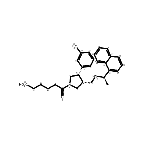 C[C@@H](NC[C@@H]1CN(C(=O)CCCCC(=O)O)C[C@@H]1c1cccc(C(F)(F)F)c1)c1cccc2ccccc12